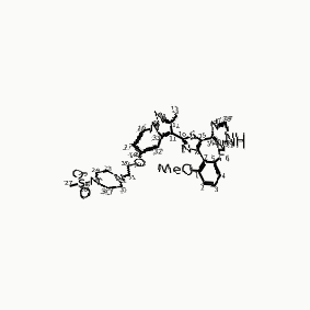 COc1cccc(F)c1-c1nc(-c2c(C)nn3ccc(OCCN4CCN(S(C)(=O)=O)CC4)cc23)sc1-c1nc[nH]n1